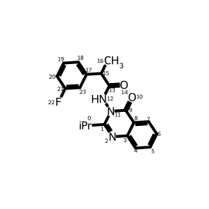 CC(C)c1nc2ccccc2c(=O)n1NC(=O)C(C)c1cccc(F)c1